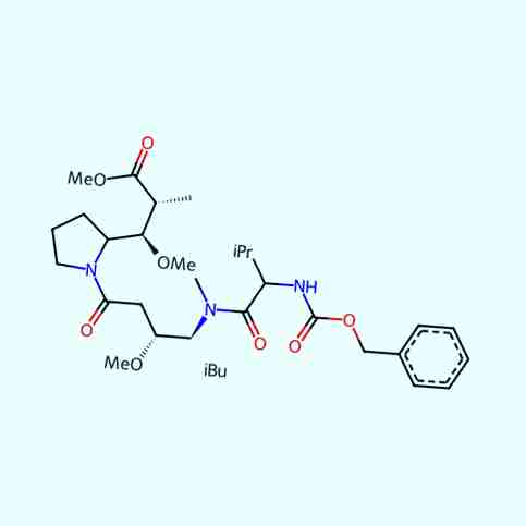 CC[C@H](C)[C@@H]([C@@H](CC(=O)N1CCCC1[C@H](OC)[C@@H](C)C(=O)OC)OC)N(C)C(=O)C(NC(=O)OCc1ccccc1)C(C)C